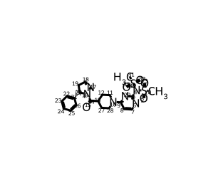 CS(=O)(=O)N(c1nccc(N2CCC(C(=O)N3N=CC[C@H]3c3ccccc3)CC2)n1)S(C)(=O)=O